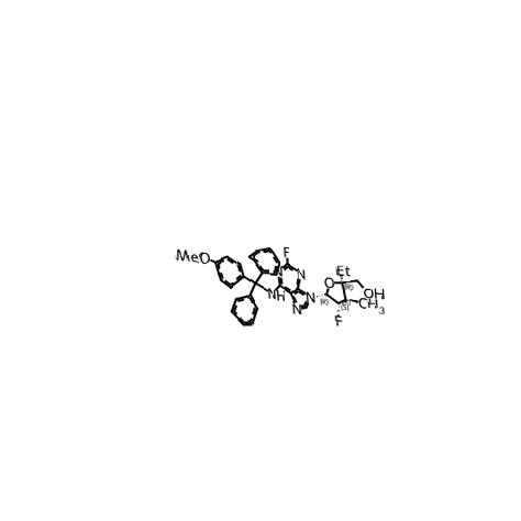 CC[C@@]1(CO)O[C@@H](n2cnc3c(NC(c4ccccc4)(c4ccccc4)c4ccc(OC)cc4)nc(F)nc32)[C@@H](F)[C@@H]1C